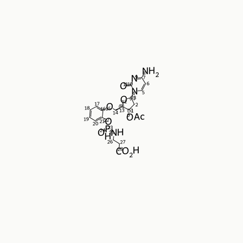 CC(=O)O[C@H]1C[C@H](n2ccc(N)nc2=O)O[C@@H]1COc1ccccc1O[PH](=O)NCCC(=O)O